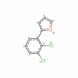 Clc1cccc(-c2cc[c]o2)c1Cl